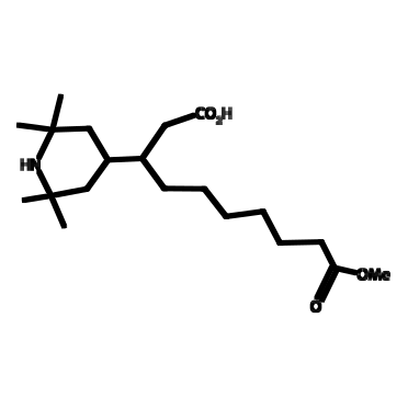 COC(=O)CCCCCCC(CC(=O)O)C1CC(C)(C)NC(C)(C)C1